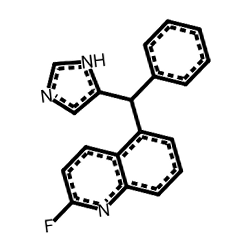 Fc1ccc2c(C(c3ccccc3)c3cnc[nH]3)cccc2n1